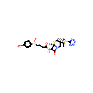 CC(Sc1nnn[nH]1)C1(C(=O)O)CS[C@@H]2C(NC(=O)CCC[S+]([O-])c3ccc(O)cc3)C(=O)N2C1